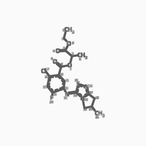 CCOC(=O)C(C)OC(=O)c1cc(/N=c2\snc3n2CC(C)C3)c(F)cc1Cl